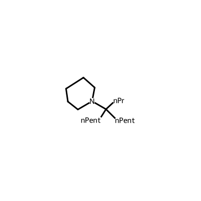 CCCCCC(CCC)(CCCCC)N1CCCCC1